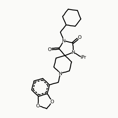 CC(C)N1C(=O)N(CC2CCCCC2)C(=O)C12CCN(Cc1cccc3c1OCO3)CC2